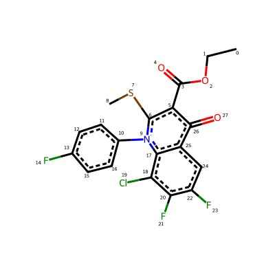 CCOC(=O)c1c(SC)n(-c2ccc(F)cc2)c2c(Cl)c(F)c(F)cc2c1=O